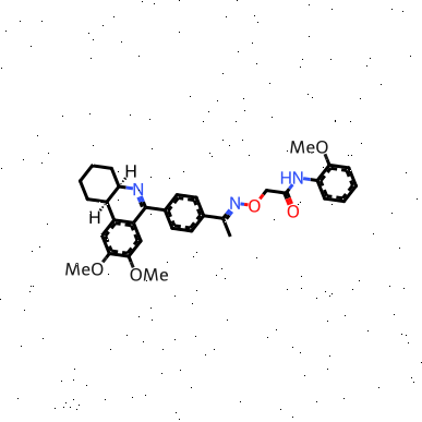 COc1ccccc1NC(=O)CON=C(C)c1ccc(C2=N[C@@H]3CCCC[C@@H]3c3cc(OC)c(OC)cc32)cc1